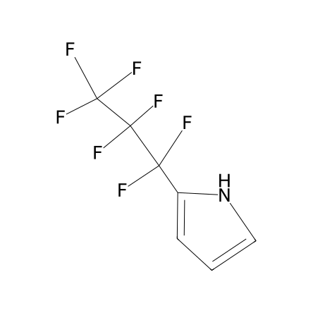 FC(F)(F)C(F)(F)C(F)(F)c1ccc[nH]1